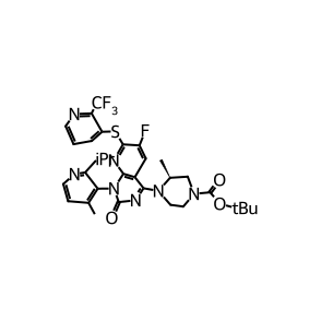 Cc1ccnc(C(C)C)c1-n1c(=O)nc(N2CCN(C(=O)OC(C)(C)C)C[C@@H]2C)c2cc(F)c(Sc3cccnc3C(F)(F)F)nc21